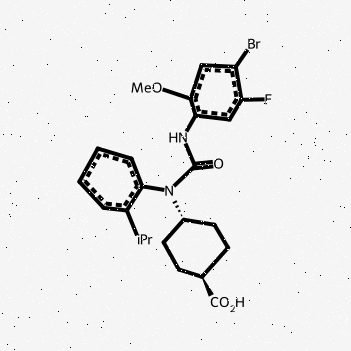 COc1cc(Br)c(F)cc1NC(=O)N(c1ccccc1C(C)C)[C@H]1CC[C@H](C(=O)O)CC1